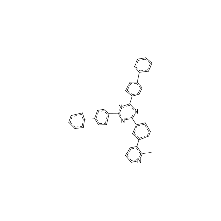 Cc1ncccc1-c1cccc(-c2nc(-c3ccc(-c4ccccc4)cc3)nc(-c3ccc(-c4ccccc4)cc3)n2)c1